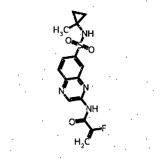 C=C(F)C(=O)Nc1cnc2ccc(S(=O)(=O)NC3(C)CC3)cc2n1